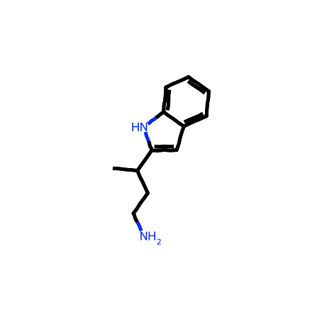 CC(CCN)c1cc2ccccc2[nH]1